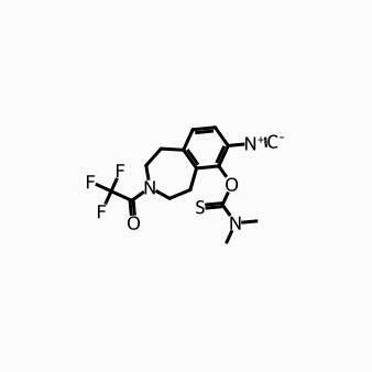 [C-]#[N+]c1ccc2c(c1OC(=S)N(C)C)CCN(C(=O)C(F)(F)F)CC2